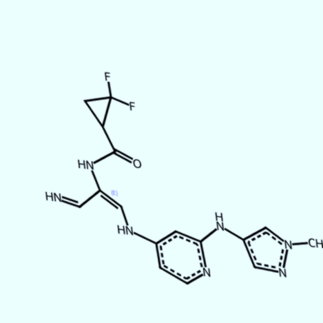 Cn1cc(Nc2cc(N/C=C(\C=N)NC(=O)C3CC3(F)F)ccn2)cn1